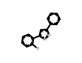 Clc1ccccc1-c1cc(-c2ccccc2)on1